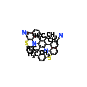 CC(C)(C)c1c(-c2cccc(C#N)c2)c(N2c3ccccc3Sc3ccccc32)c(C(C)(C)C)c(N2c3ccccc3Sc3ccccc32)c1-c1cccc(C#N)c1